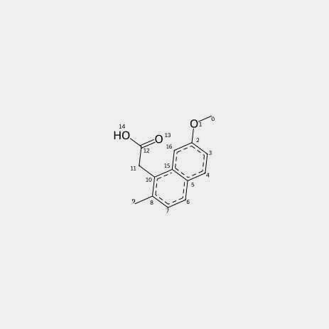 COc1ccc2ccc(C)c(CC(=O)O)c2c1